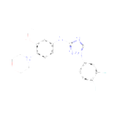 CC(C)Oc1cc(Nc2ncn(-c3ccc(F)c(F)c3)n2)ccc1N1CCOCC1